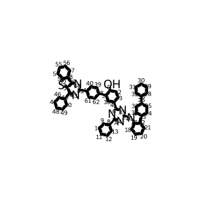 Oc1ccc(-c2nc(-c3ccccc3)nc(-n3c4ccccc4c4ccc(-c5ccccc5)cc43)n2)cc1-c1ccc(-c2nc(-c3ccccc3)c3sc4ccccc4c3n2)cc1